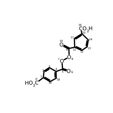 O=C(O)c1ccc(C(=O)OOC(=O)c2cccc(C(=O)O)c2)cc1